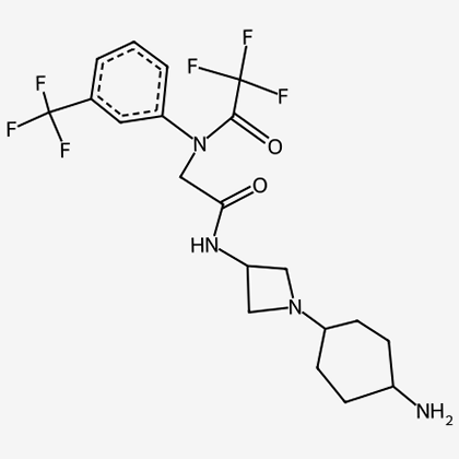 NC1CCC(N2CC(NC(=O)CN(C(=O)C(F)(F)F)c3cccc(C(F)(F)F)c3)C2)CC1